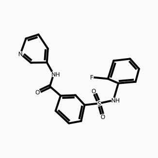 O=C(Nc1cccnc1)c1cccc(S(=O)(=O)Nc2ccccc2F)c1